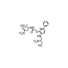 NC(=O)CC(NC(=O)COc1nc(-c2ccccc2)ccc1NCC(N)CS)C(=O)O